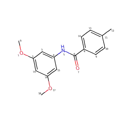 COc1cc(NC(=O)c2ccc(C)cc2)cc(OC)c1